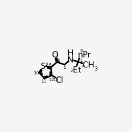 CCCC(C)(CC)NCC(=O)c1sccc1Cl